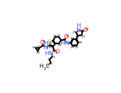 CCCCNC(=O)c1c(NC(=O)C2CC2)sc2c1CC(C(=O)Nc1cccc(C3CNC(=O)C3)c1)CC2